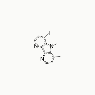 Cc1ccnc2c3nccc(I)c3n(C)c12